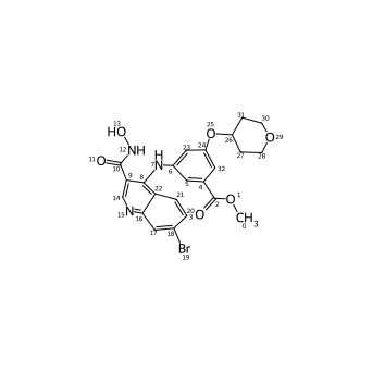 COC(=O)c1cc(Nc2c(C(=O)NO)cnc3cc(Br)ccc23)cc(OC2CCOCC2)c1